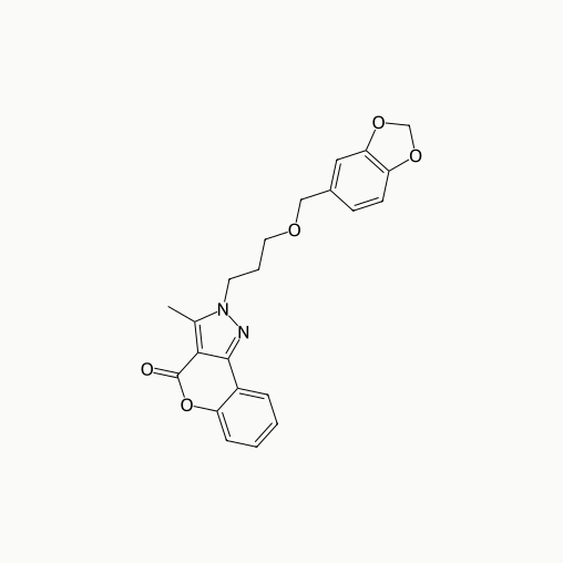 Cc1c2c(=O)oc3ccccc3c2nn1CCCOCc1ccc2c(c1)OCO2